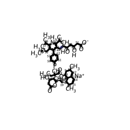 CCC(C)(C)C(=O)O[C@H]1C[C@@H](C)C=C2C=C[C@H](C)[C@H](CC[C@@H]3C[C@@H](O)CC(=O)O3)[C@H]21.COCc1c(C(C)C)nc(C(C)C)c(/C=C/[C@@H](O)C[C@@H](O)CC(=O)[O-])c1-c1ccc(F)cc1.[Na+]